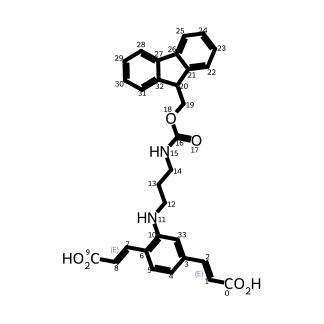 O=C(O)/C=C/c1ccc(/C=C/C(=O)O)c(NCCCNC(=O)OCC2c3ccccc3-c3ccccc32)c1